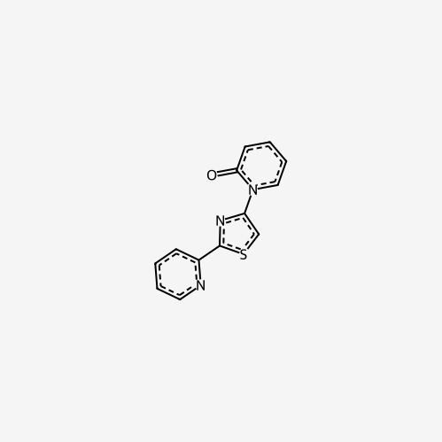 O=c1ccccn1-c1csc(-c2ccccn2)n1